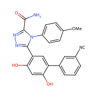 [C-]#[N+]c1cccc(-c2cc(-c3nnc(C(N)=O)n3-c3ccc(OC)cc3)c(O)cc2O)c1